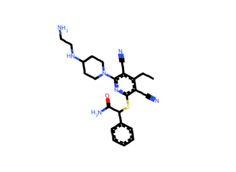 CCc1c(C#N)c(SC(C(N)=O)c2ccccc2)nc(N2CCC(NCCN)CC2)c1C#N